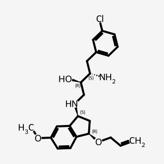 C=CCO[C@@H]1C[C@H](NC[C@@H](O)[C@@H](N)Cc2cccc(Cl)c2)c2cc(OC)ccc21